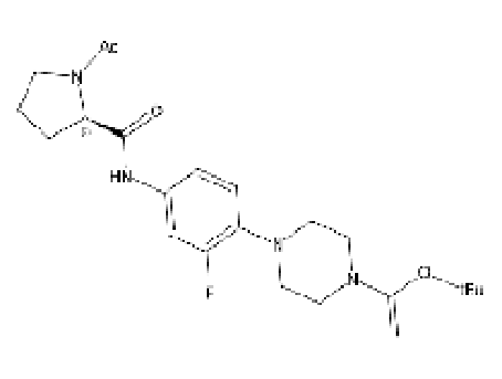 C=C(OC(C)(C)C)N1CCN(c2ccc(NC(=O)[C@H]3CCCN3C(C)=O)cc2F)CC1